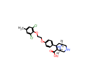 Cc1cc(Cl)c(OCCOc2ccc(C3=C(C(=O)O)[C@@H]4CNC[C@H](C3)N4)cc2)c(Cl)c1